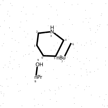 C1CCNCC1.CCCCC.CCCO